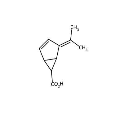 CC(C)=C1C=CC2C(C(=O)O)C12